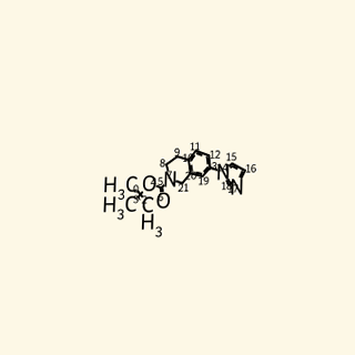 CC(C)(C)OC(=O)N1CCc2ccc(-n3ccnc3)cc2C1